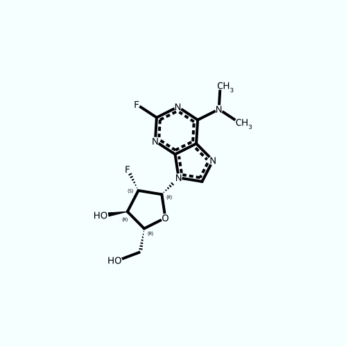 CN(C)c1nc(F)nc2c1ncn2[C@@H]1O[C@H](CO)[C@@H](O)[C@@H]1F